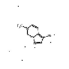 FC(F)(F)N1C=Cc2c(Br)cnn2C1